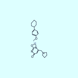 O=c1cc(CN2CCCC2)n2c(n1)O[C@H](COc1ccc(C3CCCCC3)cc1)C2